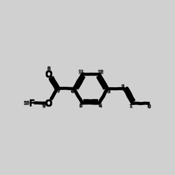 CC=Cc1ccc(C(=O)OF)cc1